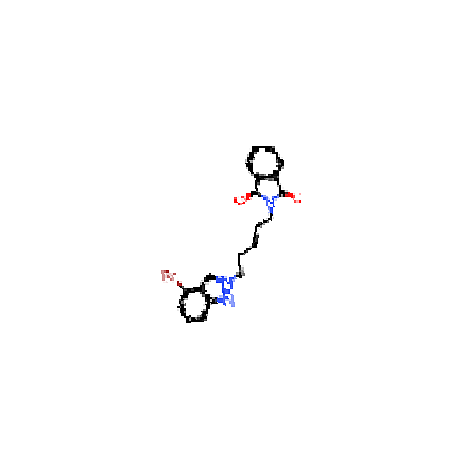 O=C1c2ccccc2C(=O)N1CCCCCn1cc2c(Br)cccc2n1